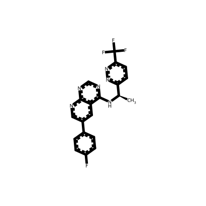 C[C@@H](Nc1ncnc2ncc(-c3ccc(F)cc3)cc12)c1ccc(C(F)(F)F)nn1